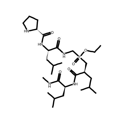 CCOP(=O)(CNC(=O)[C@H](CC(C)C)NC(=O)[C@H]1CCCN1)C[C@@H](CC(C)C)C(=O)N[C@@H](CC(C)C)C(=O)NC